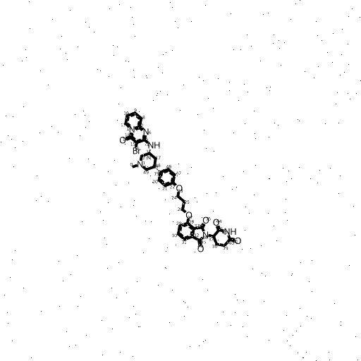 CN1C[C@H](Nc2nc3ccccn3c(=O)c2Br)C[C@H](c2ccc(OCCCOc3cccc4c3C(=O)N(C3CCC(=O)NC3=O)C4=O)cc2)C1